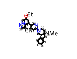 CCOc1cc(-c2ccc(N3CCC(Cc4ccccc4)(NC)CC3)nc2)c2c(C#N)cnn2c1